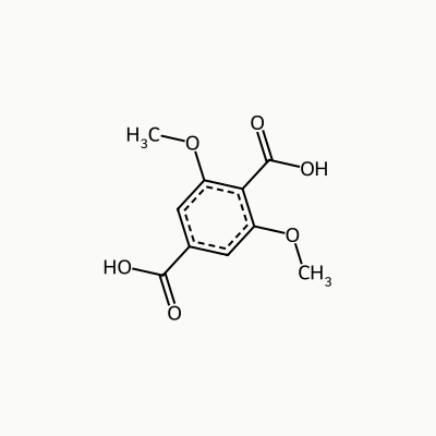 COc1cc(C(=O)O)cc(OC)c1C(=O)O